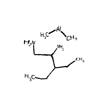 CCC(CC)C(N)CN.[CH3][Al][CH3]